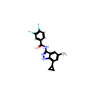 Cc1cc(C2CC2)c2[nH]nc(NC(=O)c3ccc(F)c(F)c3)c2c1